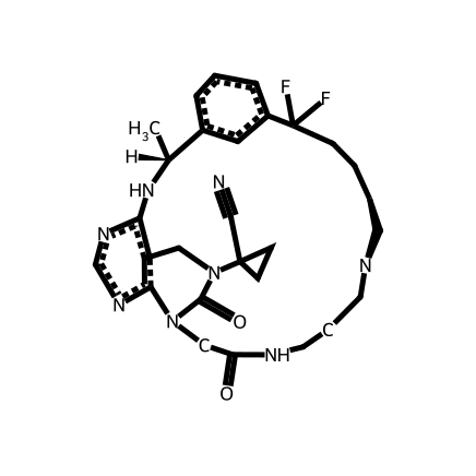 C[C@H]1Nc2ncnc3c2CN(C2(C#N)CC2)C(=O)N3CC(=O)NCCCN2CC(CCC(F)(F)c3cccc1c3)C2